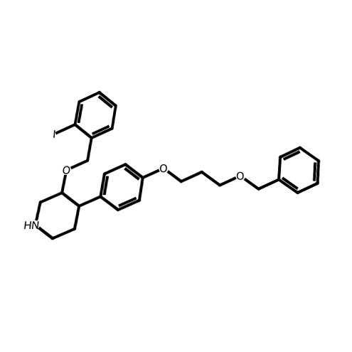 Ic1ccccc1COC1CNCCC1c1ccc(OCCCOCc2ccccc2)cc1